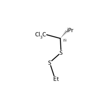 CCSS[C@@H](C(C)C)C(Cl)(Cl)Cl